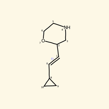 C(=C\C1CNCCO1)/C1CC1